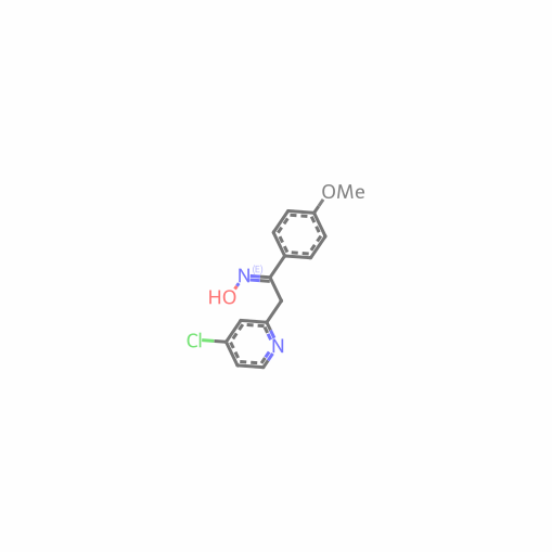 COc1ccc(/C(Cc2cc(Cl)ccn2)=N/O)cc1